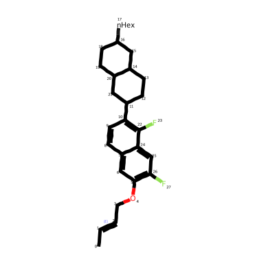 C/C=C/COc1cc2ccc(C3CCC4CC(CCCCCC)CCC4C3)c(F)c2cc1F